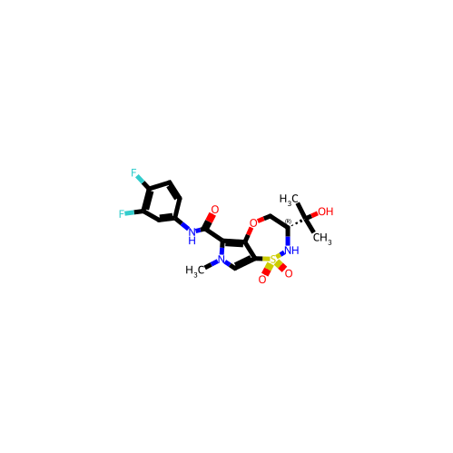 Cn1cc2c(c1C(=O)Nc1ccc(F)c(F)c1)OC[C@H](C(C)(C)O)NS2(=O)=O